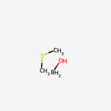 BO.CSC